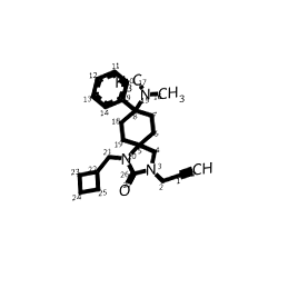 C#CCN1CC2(CCC(c3ccccc3)(N(C)C)CC2)N(CC2CCC2)C1=O